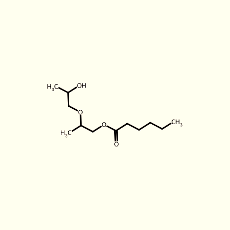 CCCCCC(=O)OCC(C)OCC(C)O